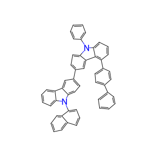 c1ccc(-c2ccc(-c3cccc4c3c3cc(-c5ccc6c(c5)c5ccccc5n6-c5cccc6ccccc56)ccc3n4-c3ccccc3)cc2)cc1